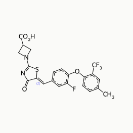 Cc1ccc(Oc2ccc(/C=C3\SC(N4CC(C(=O)O)C4)=NC3=O)cc2F)c(C(F)(F)F)c1